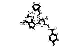 Cc1ccc(C(=O)OC[C@H]2O[C@@H](n3ccc4c(Cl)nc(N)nc43)[C@H](OCc3ccccc3)[C@@H]2F)cc1